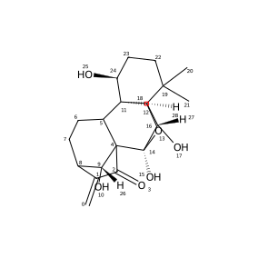 C=C1C(=O)C23C(CCC1[C@H]2O)[C@@]12CO[C@]3(O)[C@@H](O)[C@@H]1C(C)(C)CC[C@@H]2O